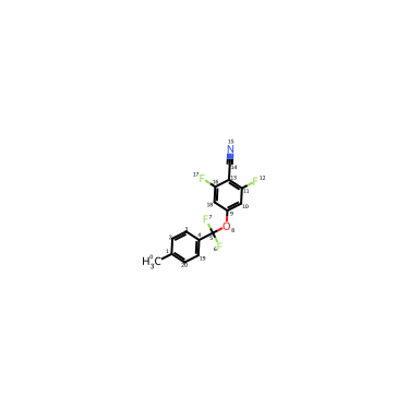 Cc1ccc(C(F)(F)Oc2cc(F)c(C#N)c(F)c2)cc1